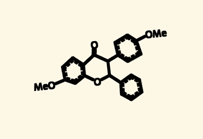 COc1ccc(C2C(=O)c3ccc(OC)cc3OC2c2ccccc2)cc1